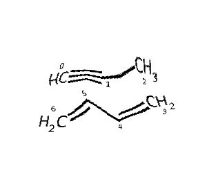 C#CC.C=CC=C